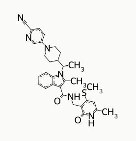 CSc1cc(C)[nH]c(=O)c1CNC(=O)c1c(C)n([C@H](C)C2CCN(c3ccc(C#N)nc3)CC2)c2ccccc12